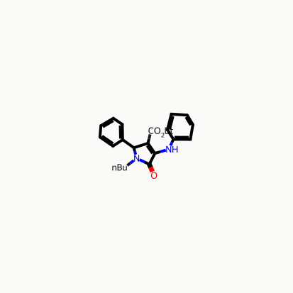 CCCCN1C(=O)C(Nc2ccccc2)=C(C(=O)OCC)C1c1ccccc1